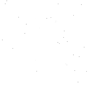 CC(C)OC(=O)CC1CC(CC#N)OC(C)(C)O1